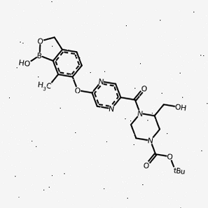 Cc1c(Oc2cnc(C(=O)N3CCN(C(=O)OC(C)(C)C)CC3CO)cn2)ccc2c1B(O)OC2